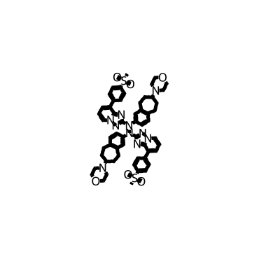 CS(=O)(=O)c1ccc(-c2cccn3nc(N(c4ccc5c(c4)CCC(N4CCOCC4)CC5)N(c4ccc5c(c4)CCC(N4CCOCC4)CC5)c4nc5c(-c6ccc(S(C)(=O)=O)cc6)cccn5n4)nc23)cc1